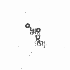 CC1(C)CC2(CCN(c3ccccc3NS(=O)(=O)CCc3ccccc3)CC2)CO1